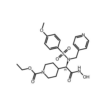 CCOC(=O)N1CCC([C@H](C(=O)NO)N(Cc2ccncc2)S(=O)(=O)c2ccc(OC)cc2)CC1